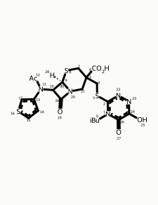 CCC(C)n1c(SCC2(C(=O)O)CS[C@@H]3C(N(C(C)=O)c4ccsc4)C(=O)N3C2)nnc(O)c1=O